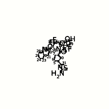 Nc1nc(-c2cccc(C(=O)N3CCC(F)(F)[C@@H](Oc4ccc5ccccc5n4)C3)c2)cs1.O=C(O)C(F)(F)F